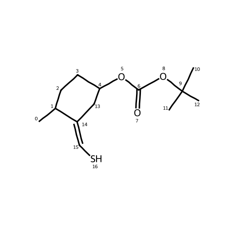 CC1CCC(OC(=O)OC(C)(C)C)C/C1=C\S